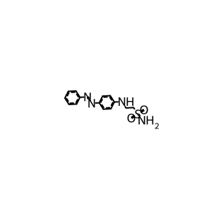 NS(=O)(=O)CCNc1ccc(/N=N/c2ccccc2)cc1